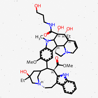 CCC1(O)CC2C[N@](CCc3c([nH]c4ccccc34)[C@H](C(=O)OC)C2c2cc3c(cc2OC)N(C)C2[C@]34CCN3CC=C[C@](CC)(C34)[C@@H](O)[C@]2(O)C(=O)NCCCO)C1